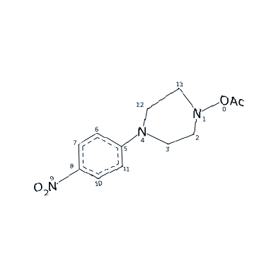 CC(=O)ON1CCN(c2ccc([N+](=O)[O-])cc2)CC1